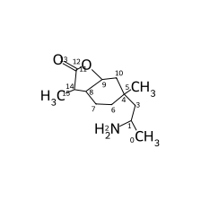 CC(N)CC1(C)CCC2C(C1)OC(=O)C2C